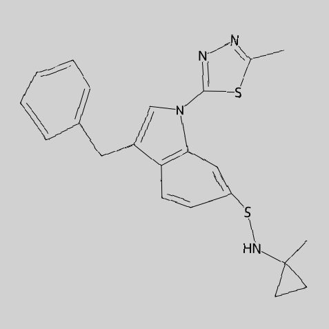 Cc1nnc(-n2cc(Cc3ccccc3)c3ccc(SNC4(C)CC4)cc32)s1